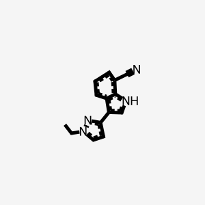 CCn1ccc(-c2c[nH]c3c(C#N)cccc23)n1